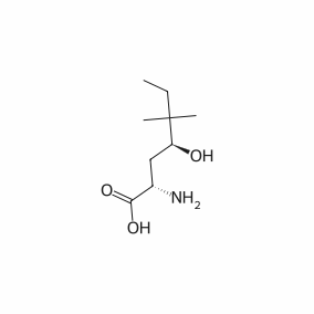 CCC(C)(C)[C@@H](O)C[C@H](N)C(=O)O